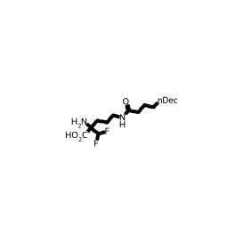 CCCCCCCCCCCCCC(=O)NCCCC(N)(C(=O)O)C(F)F